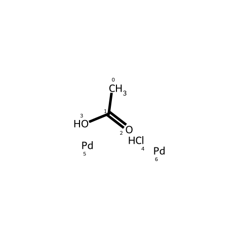 CC(=O)O.Cl.[Pd].[Pd]